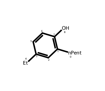 CCCCCc1cc(CC)ccc1O